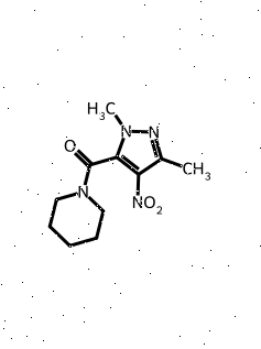 Cc1nn(C)c(C(=O)N2CCCCC2)c1[N+](=O)[O-]